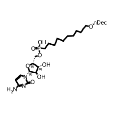 CCCCCCCCCCOCCCCCCCCCCP(=O)(O)OC[C@H]1O[C@@H](n2ccc(N)nc2=O)C(O)[C@H]1O